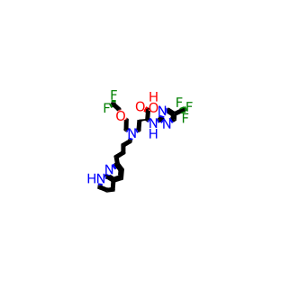 O=C(O)[C@H](CCN(CCCCc1ccc2c(n1)NCCC2)CCOCC(F)F)Nc1ncc(C(F)(F)F)cn1